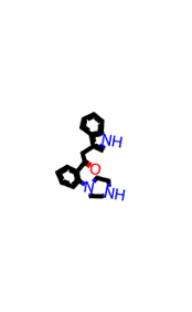 O=C(Cc1c[nH]c2ccccc12)c1ccccc1N1CCNCC1